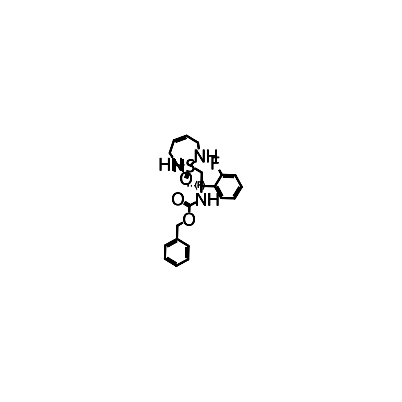 C[C@@](C[SH]1(=O)NCC=CCN1)(NC(=O)OCc1ccccc1)c1ccccc1F